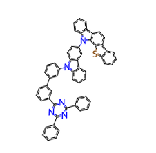 c1ccc(-c2nc(-c3ccccc3)nc(-c3cccc(-c4cccc(-n5c6ccccc6c6cc(-n7c8ccccc8c8ccc9c%10ccccc%10sc9c87)ccc65)c4)c3)n2)cc1